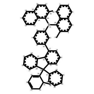 Cc1ccc2ccccc2c1B(c1cccc(-c2cccc3c2-c2ccccc2C3(C2=CC=CCC2C)c2ccccc2)c1)c1c(C)ccc2ccccc12